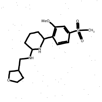 COc1cc(S(C)(=O)=O)ccc1C1CCCC(NCC2CCOC2)N1